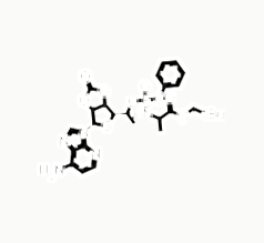 CC(NP(=O)(Oc1ccccc1)OC(C)[C@H]1O[C@@H](n2cnc3c(N)ccnc32)C2OC(=O)OC21)C(=O)OCC(C)(C)C